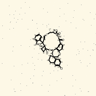 C[C@@H]1[C@@H](C)C/C=C/[C@@](O)(c2cccnc2F)[C@@H]2CC[C@H]2CN2C[C@@]3(CCCc4cc(Cl)ccc43)COc3ccc(cc32)C(=O)NS1(=O)=O